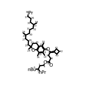 CCCCC(CCC)CCOC(=O)CCC(Oc1c(C)c(C)c2c(c1C)CCC(C)(CCCC(C)CCCC(C)CCCC(C)C)O2)=C1CCC1